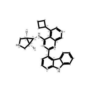 c1ccc2c(c1)[nH]c1nccc(-c3nc(N[C@H]4[C@@H]5CNC[C@@H]54)c4c(C5CCC5)cncc4n3)c12